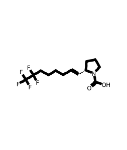 O=C(O)N1CCC[C@H]1C=CCCCCC(F)(F)C(F)(F)F